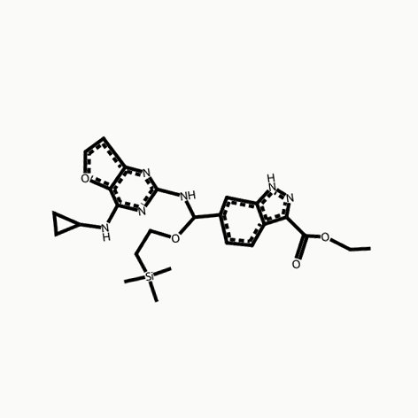 CCOC(=O)c1n[nH]c2cc(C(Nc3nc(NC4CC4)c4occc4n3)OCC[Si](C)(C)C)ccc12